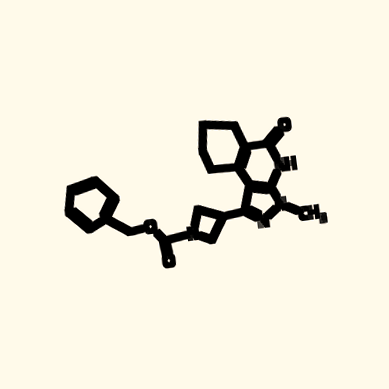 Cn1nc(C2CN(C(=O)OCc3ccccc3)C2)c2c3c(c(=O)[nH]c21)CCCC3